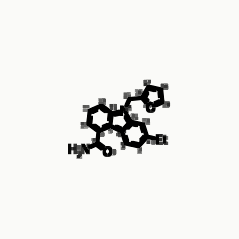 CCc1c[c]c2c3c(C(N)=O)cccc3n(Cc3ccco3)c2c1